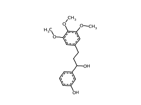 COc1cc(CCC(O)c2cccc(O)c2)cc(OC)c1OC